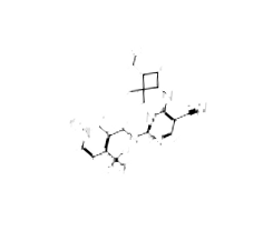 CC1(C)[C@@H](CO)C[C@H]1Nc1nc(NCc2c[n+]([O-])ccc2C(F)(F)F)ncc1C#N